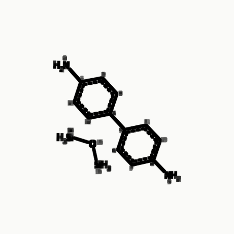 Nc1ccc(-c2ccc(N)cc2)cc1.[SiH3]O[SiH3]